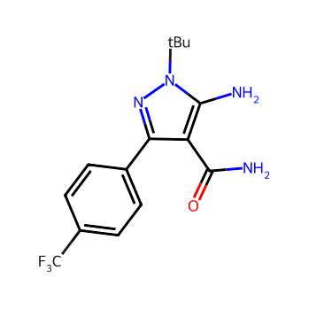 CC(C)(C)n1nc(-c2ccc(C(F)(F)F)cc2)c(C(N)=O)c1N